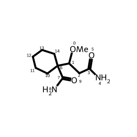 COC(CC(N)=O)C1(C(N)=O)CCCCC1